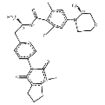 Cc1cc(N2CCOC[C@@H]2C(F)(F)F)cc(F)c1C(=O)N[C@@H](Cc1ccc(-n2c(=O)c3c(n(C)c2=O)CCC3)cc1)C(=O)O